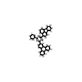 c1ccc(-c2nc(-c3ccc4c5ccccc5c5ccccc5c4c3)nc(-c3ccc4c5c(cccc35)-c3ccccc3-4)n2)cc1